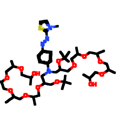 CC(O)COC(C)COC(C)COC(C)COCC(CN(CC(COC(C)(C)C)OCC(C)OCC(C)OCC(C)OCC(C)OCC(C)O)c1ccc(/N=N/c2scc[n+]2C)cc1)OC(C)(C)C